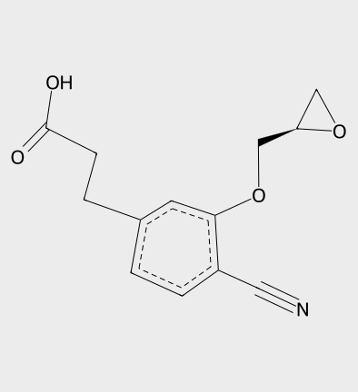 N#Cc1ccc(CCC(=O)O)cc1OC[C@H]1CO1